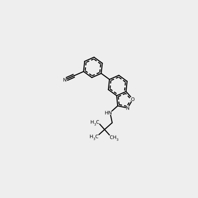 CC(C)(C)CNc1noc2ccc(-c3cccc(C#N)c3)cc12